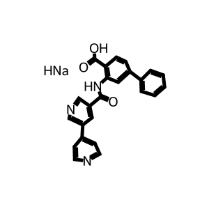 O=C(Nc1cc(-c2ccccc2)ccc1C(=O)O)c1cncc(-c2ccncc2)c1.[NaH]